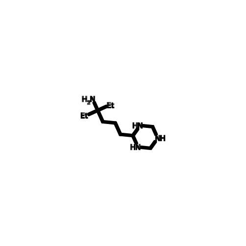 CCC(N)(CC)CCCC1NCNCN1